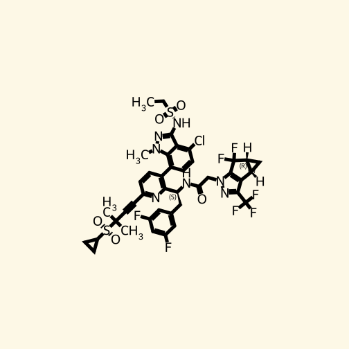 CCS(=O)(=O)Nc1nn(C)c2c(-c3ccc(C#CC(C)(C)S(=O)(=O)C4CC4)nc3[C@H](Cc3cc(F)cc(F)c3)NC(=O)Cn3nc(C(F)(F)F)c4c3C(F)(F)[C@@H]3C[C@H]43)ccc(Cl)c12